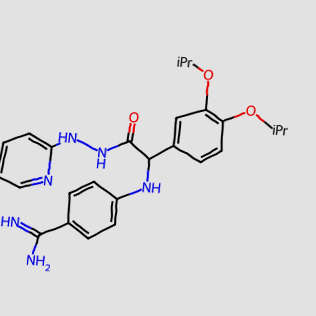 CC(C)Oc1ccc(C(Nc2ccc(C(=N)N)cc2)C(=O)NNc2ccccn2)cc1OC(C)C